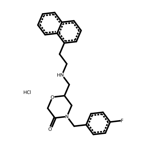 Cl.O=C1COC(CNCCc2cccc3ccccc23)CN1Cc1ccc(F)cc1